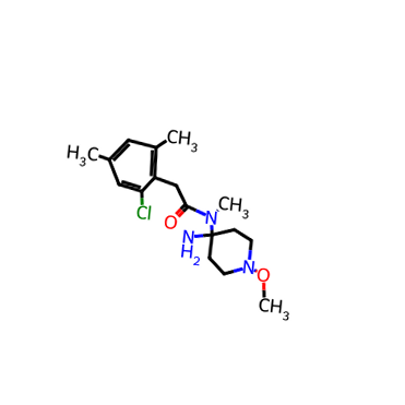 CON1CCC(N)(N(C)C(=O)Cc2c(C)cc(C)cc2Cl)CC1